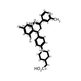 Cc1cc(/C(C[C@@H](c2ccc(N3CCC(CC(=O)O)CC3)cc2)c2ccc(I)cc2F)=N/O)ccn1